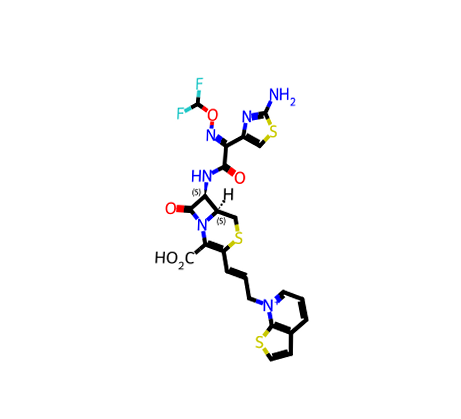 Nc1nc(C(=NOC(F)F)C(=O)N[C@@H]2C(=O)N3C(C(=O)O)=C(C=CC[n+]4cccc5ccsc54)SC[C@H]23)cs1